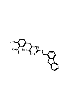 O=C(NC(Cc1ccc(O)c([N+](=O)[O-])c1)C(=O)O)OCc1cccc2c1Cc1ccccc1-2